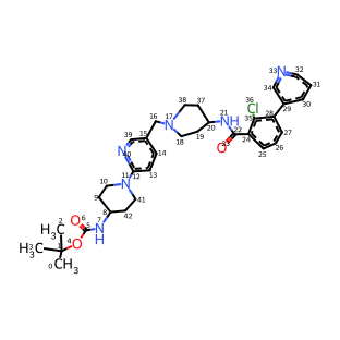 CC(C)(C)OC(=O)NC1CCN(c2ccc(CN3CCC(NC(=O)c4cccc(-c5cccnc5)c4Cl)CC3)cn2)CC1